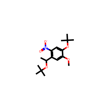 COc1cc(C(C)OC(C)(C)C)c([N+](=O)[O-])cc1OC(C)(C)C